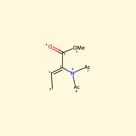 C/C=C(/C(=O)OC)N(C(C)=O)C(C)=O